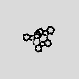 Cn1c2ccccc2c2cccc(-n3c4ccccc4c4cccc(-n5c6ccccc6c6ccccc65)c43)c21